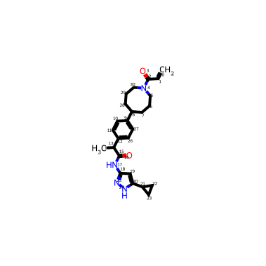 C=CC(=O)N1CCCC(c2ccc(C(C)C(=O)Nc3cc(C4CC4)[nH]n3)cc2)CCC1